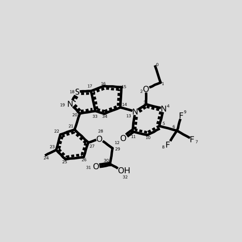 CCOc1nc(C(F)(F)F)cc(=O)n1-c1ccc2snc(-c3cc(C)ccc3OCC(=O)O)c2c1